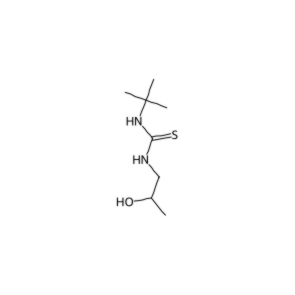 CC(O)CNC(=S)NC(C)(C)C